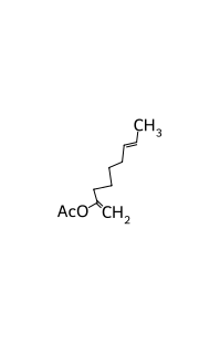 C=C(CCCCC=CC)OC(C)=O